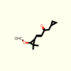 CC1(C)C(C=CC(=O)CC2CC2)C1OC=O